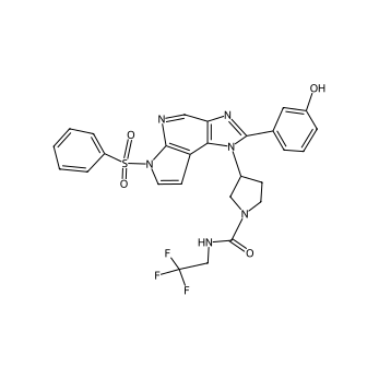 O=C(NCC(F)(F)F)N1CCC(n2c(-c3cccc(O)c3)nc3cnc4c(ccn4S(=O)(=O)c4ccccc4)c32)C1